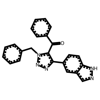 O=C(c1ccccc1)c1c(-c2ccc3[nH]ncc3c2)nnn1Cc1ccccc1